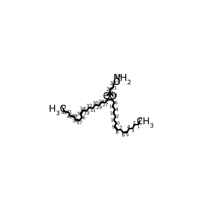 CCCCC/C=C\C/C=C\CCCCCCCC1OC(CCCON)OC1CCCCCCC/C=C\C/C=C\CCCCC